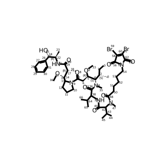 CC[C@H](C)[C@@H]([C@@H](CC(=O)N1CCCC1[C@H](OC)[C@@H](C)C(=O)N[C@H](C)[C@@H](O)c1ccccc1)OC)N(C)C(=O)C(NC(=O)C(C(C)C)N(C)C(=O)CCCCCN1C(=O)C(Br)=C(Br)C1=O)C(C)C